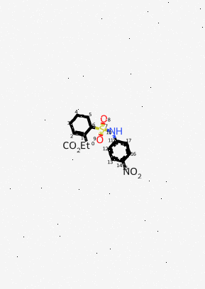 CCOC(=O)C1=CCCCC1S(=O)(=O)Nc1ccc([N+](=O)[O-])cc1